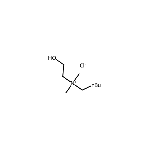 CCCCC[N+](C)(C)CCO.[Cl-]